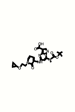 CN(C(=O)OC(C)(C)C)c1cc(Nc2cccn(CCOC3CC3)c2=O)nc2c(C(=O)O)cnn12